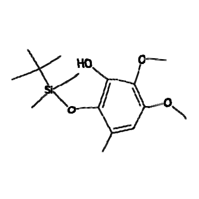 COc1cc(C)c(O[Si](C)(C)C(C)(C)C)c(O)c1OC